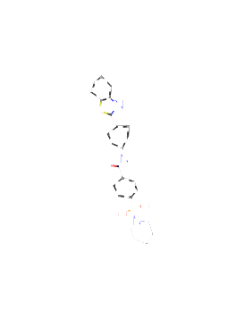 O=C(Nc1ccc(-c2nc3ccccc3s2)cc1)c1ccc(S(=O)(=O)N2CCCCC2)cc1